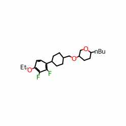 CCCCC1CCC(OCC2CCC(c3ccc(OCC)c(F)c3F)CC2)CO1